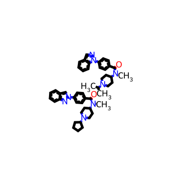 CC(C)N1CCC(N(C)C(=O)c2ccc(-n3ncc4ccccc43)cc2)CC1.CN(C(=O)c1ccc(-n2cc3ccccc3n2)cc1)C1CCN(C2CCCC2)CC1